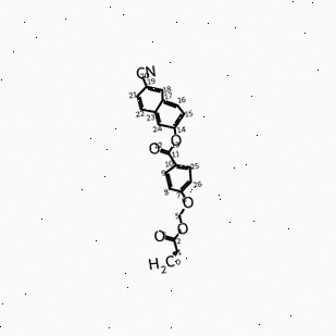 C=CC(=O)OCOc1ccc(C(=O)Oc2ccc3cc(C#N)ccc3c2)cc1